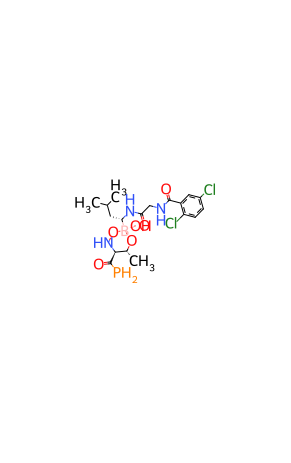 CC(C)C[C@H](NC(=O)CNC(=O)c1cc(Cl)ccc1Cl)[B-]1(O)ON[C@H](C(=O)P)[C@@H](C)O1